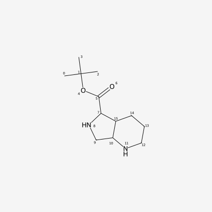 CC(C)(C)OC(=O)C1NCC2NCCCC21